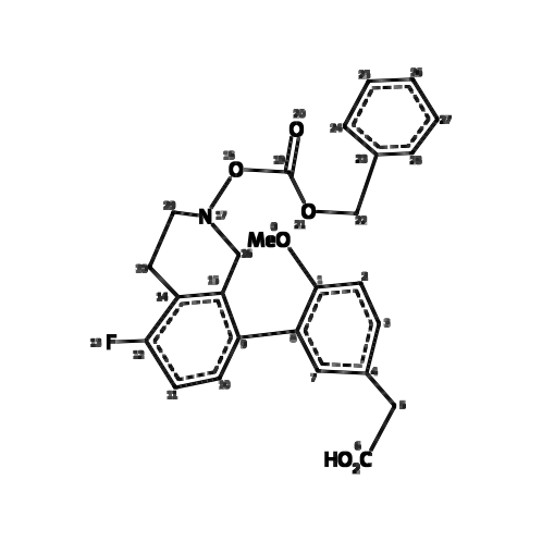 COc1ccc(CC(=O)O)cc1-c1ccc(F)c2c1CN(OC(=O)OCc1ccccc1)CC2